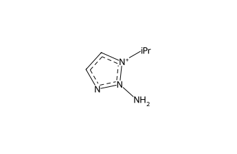 CC(C)[n+]1ccnn1N